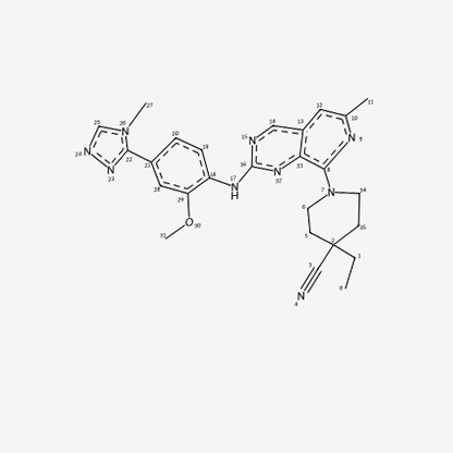 CCC1(C#N)CCN(c2nc(C)cc3cnc(Nc4ccc(-c5nncn5C)cc4OC)nc23)CC1